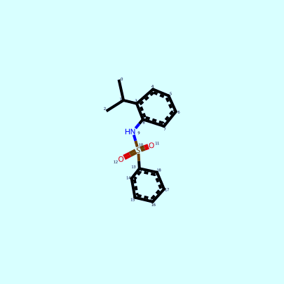 CC(C)c1ccccc1NS(=O)(=O)c1ccccc1